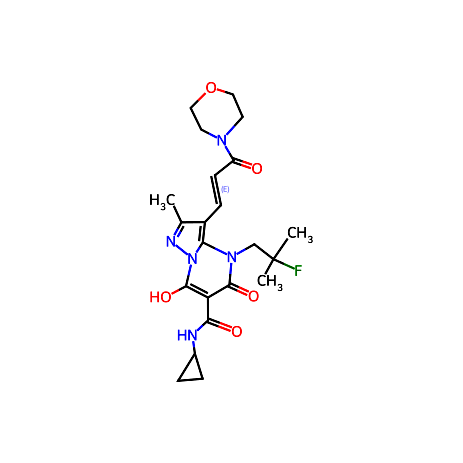 Cc1nn2c(O)c(C(=O)NC3CC3)c(=O)n(CC(C)(C)F)c2c1/C=C/C(=O)N1CCOCC1